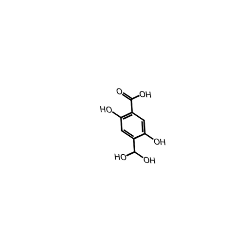 O=C(O)c1cc(O)c(C(O)O)cc1O